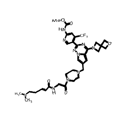 COC(=O)Nc1cc(C(F)(F)F)c(-c2nc(N3CC4(COC4)C3)c3cc(CN4CCN(C(=O)CNC(=O)/C=C/CCN(C)C)CC4)cn3n2)cn1